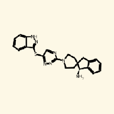 N[C@@H]1c2ccccc2CC12CCN(c1ncc(Sc3n[nH]c4ccccc34)nn1)CC2